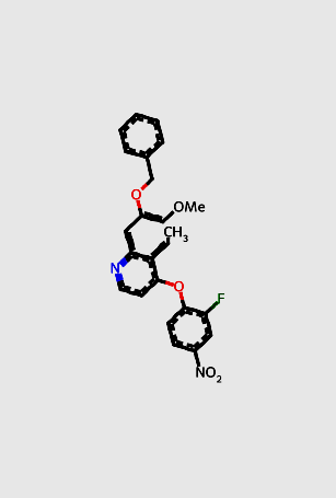 C/C=c1/c(Oc2ccc([N+](=O)[O-])cc2F)ccn/c1=C/C(=C/OC)OCc1ccccc1